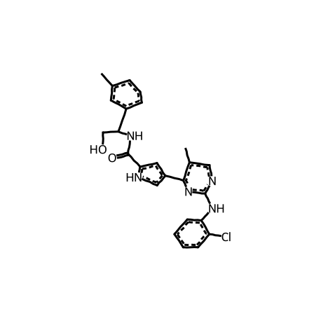 Cc1cccc(C(CO)NC(=O)c2cc(-c3nc(Nc4ccccc4Cl)ncc3C)c[nH]2)c1